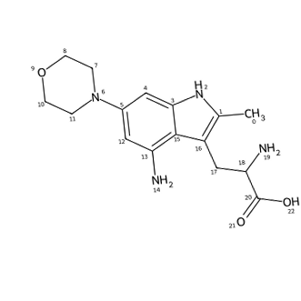 Cc1[nH]c2cc(N3CCOCC3)cc(N)c2c1CC(N)C(=O)O